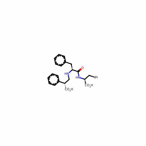 CC(C)C[C@H](NC(=O)[C@H](Cc1ccccc1)NC[C@H](C(=O)O)c1ccccc1)C(=O)O